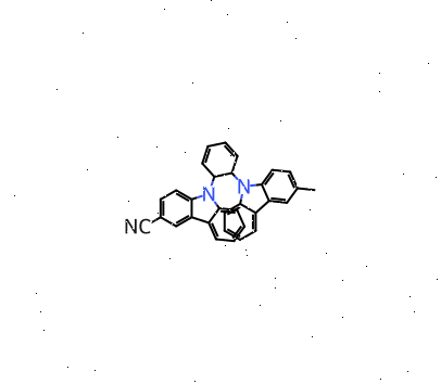 Cc1ccc2c(c1)c1ccccc1n2C1C=CC=CC1n1c2ccccc2c2cc(C#N)ccc21